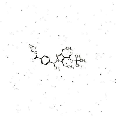 CCOC(=O)c1ccc(C(C)n2nc(CC)c(C(=O)OC(C)(C)C)c2CC)cc1